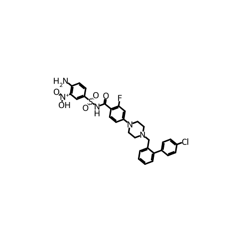 Nc1ccc(S(=O)(=O)NC(=O)c2ccc(N3CCN(Cc4ccccc4-c4ccc(Cl)cc4)CC3)cc2F)cc1[N+](=O)O